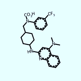 CN(C)c1cc(NC2CCC(CN(C(=O)O)c3cccc(C(F)(F)F)c3)CC2)nc2ccccc12